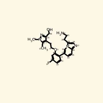 Cc1c(CCOc2cc(F)ccc2-c2ccc3ncc(CCN)n3c2)c(CO)nn1C